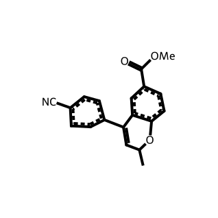 COC(=O)c1ccc2c(c1)C(c1ccc(C#N)cc1)=CC(C)O2